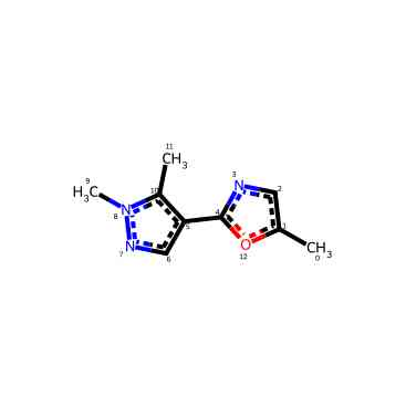 Cc1cnc(-c2cnn(C)c2C)o1